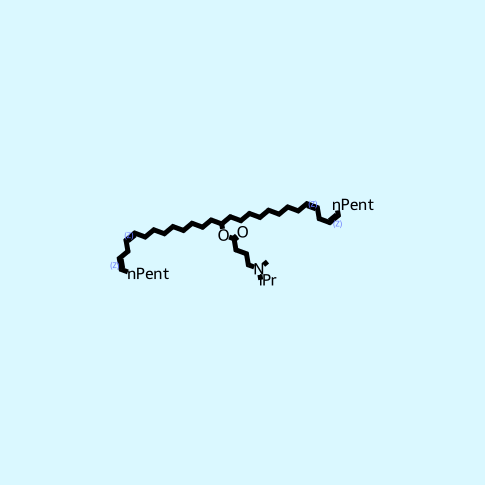 CCCCC/C=C\C/C=C\CCCCCCCCC(CCCCCCCC/C=C\C/C=C\CCCCC)OC(=O)CCCN(C)C(C)C